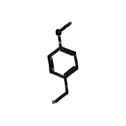 [CH]Cc1ccc(OC)cc1